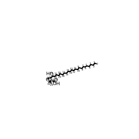 CCCCCCCCCCCCCCCCCCCCCCC[C@@H](O)[C@@H]1COC(C)(C)N1C(=O)O